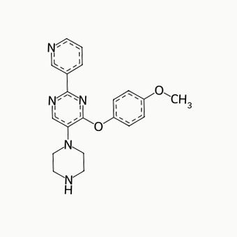 COc1ccc(Oc2nc(-c3cccnc3)ncc2N2CCNCC2)cc1